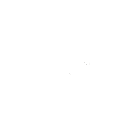 CCc1c(F)c(N)nc(C)c1C(F)(F)F